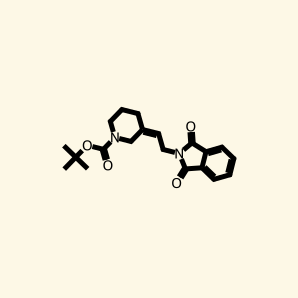 CC(C)(C)OC(=O)N1CCC/C(=C/CN2C(=O)c3ccccc3C2=O)C1